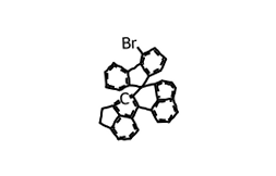 Brc1cccc2c1-c1ccccc1C21c2cc3c4c(cccc4c2-c2cccc4cccc1c24)CC3